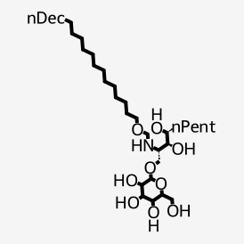 CCCCCCCCCCCCCCCCCCCCCCCOCN[C@@H](COC1OC(CO)C(O)C(O)C1O)[C@H](O)[C@H](O)CCCCC